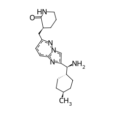 C[C@H]1CC[C@H]([C@H](N)c2cn3nc(C[C@@H]4CCCNC4=O)ccc3n2)CC1